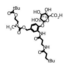 CN(CCOC(=O)C(C)(C)C)C(=O)OCc1ccc(O[C@@H]2O[C@H](C(=O)O)[C@@H](O)[C@H](O)[C@H]2O)c(NC(=O)CCNC(=O)CCC(C)(C)C)c1